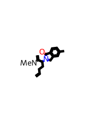 C=CCCC(C(=C)NC)N1Cc2cc(C)ccc2C1=O